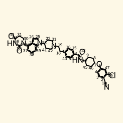 N#Cc1ccc(O[C@H]2CC[C@H](NC(=O)c3ccc(CCN4CCC(n5ccc6c(N7CCC(=O)NC7=O)cccc65)CC4)cc3)CC2)cc1Cl